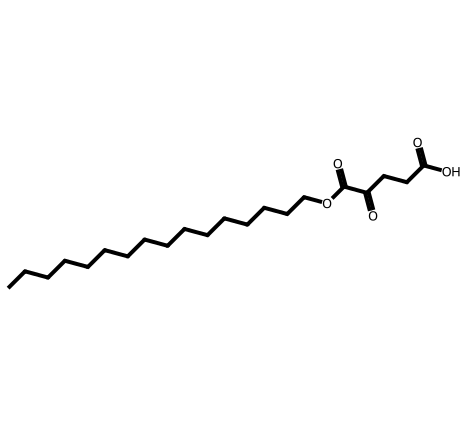 CCCCCCCCCCCCCCCCOC(=O)C(=O)CCC(=O)O